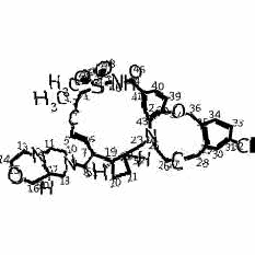 C[C@@H]1[C@@H](C)C/C=C/[C@H](CN2CCN3CCOC[C@@H]3C2)[C@@H]2CC[C@H]2CN2CCCCc3cc(Cl)ccc3COc3ccc(cc32)C(=O)NS1(=O)=O